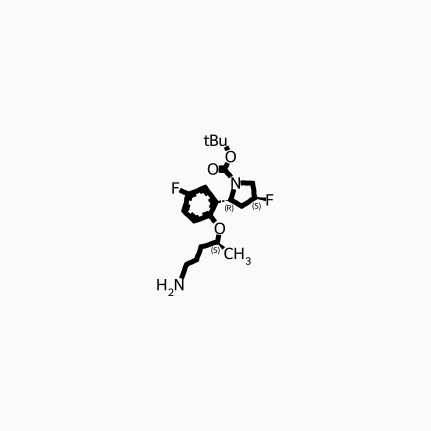 C[C@@H](CCCN)Oc1ccc(F)cc1[C@H]1C[C@H](F)CN1C(=O)OC(C)(C)C